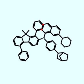 CC1(C)c2cccc(-c3ccccc3)c2-c2ccc(N(c3ccc(C4CC5CCC4C5)cc3)c3cccc4ccc(C5CCCCC5)cc34)c(-c3ccccc3)c21